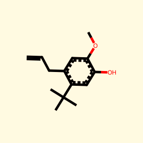 C=CCc1cc(OC)c(O)cc1C(C)(C)C